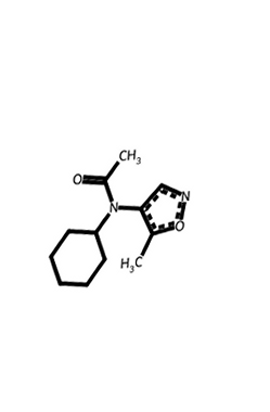 CC(=O)N(c1cnoc1C)C1CCCCC1